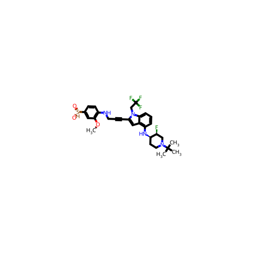 COc1cc([SH](=O)=O)ccc1NCC#Cc1cc2c(N[C@@H]3CCN(C(C)(C)C)C[C@@H]3F)cccc2n1CC(F)(F)F